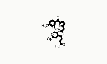 Cc1ccc(C(=O)c2ccc(CC(=O)OC(CCC(=O)O)C3CCOC(N=O)C3)n2C)cc1